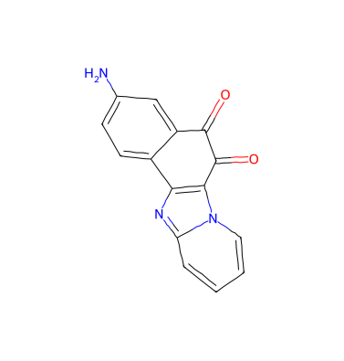 Nc1ccc2c(c1)C(=O)C(=O)c1c-2nc2ccccn12